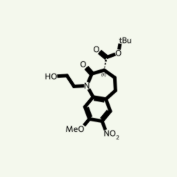 COc1cc2c(cc1[N+](=O)[O-])CC[C@@H](C(=O)OC(C)(C)C)C(=O)N2CCO